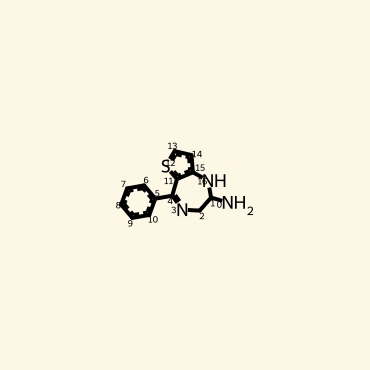 NC1CN=C(c2ccccc2)c2sccc2N1